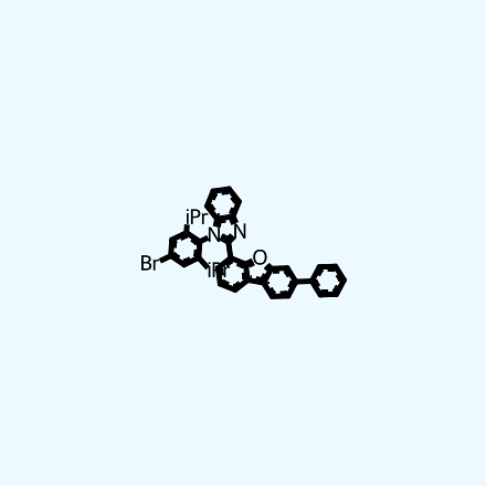 CC(C)c1cc(Br)cc(C(C)C)c1-n1c(-c2cccc3c2oc2cc(-c4ccccc4)ccc23)nc2ccccc21